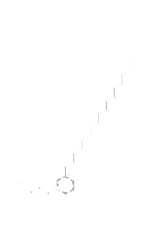 CCCCCCCCCCCCCCCCCCc1ccc[n+](CCCC)c1